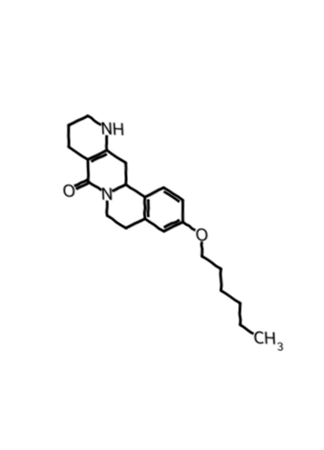 CCCCCCOc1ccc2c(c1)CCN1C(=O)C3=C(CC21)NCCC3